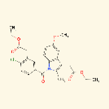 CCOC(=O)Cc1cc(C(=O)n2c(C)c(CC(=O)OCC)c3cc(OC)ccc32)ccc1Cl